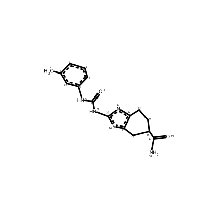 Cc1cccc(NC(=O)Nc2nc3c(s2)CC(C(N)=O)CC3)c1